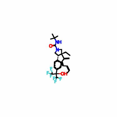 C=C(/C=C\C=C/C)[C@@]1(CC)CN(C(=O)NC(C)(C)C)C[C@H]1c1ccc(C(O)(C(F)(F)F)C(F)(F)F)cc1